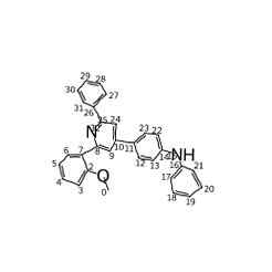 COc1ccccc1-c1cc(-c2ccc(Nc3ccccc3)cc2)cc(-c2ccccc2)n1